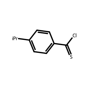 CC(C)c1ccc(C(=S)Cl)cc1